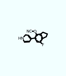 N#COc1c(C2=CCNC=C2)cc(F)c2c1CCC2